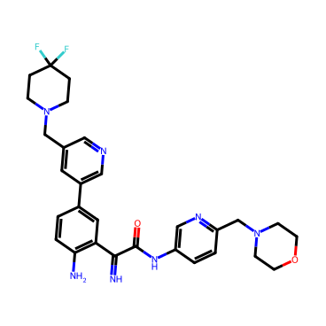 N=C(C(=O)Nc1ccc(CN2CCOCC2)nc1)c1cc(-c2cncc(CN3CCC(F)(F)CC3)c2)ccc1N